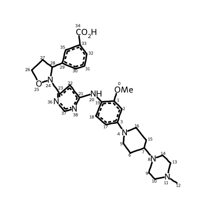 COc1cc(N2CCC(N3CCN(C)CC3)CC2)ccc1Nc1cc(N2OCCC2c2cccc(C(=O)O)c2)ncn1